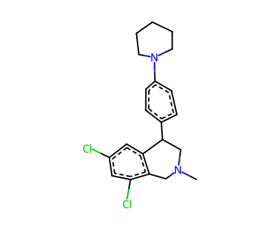 CN1Cc2c(Cl)cc(Cl)cc2C(c2ccc(N3CCCCC3)cc2)C1